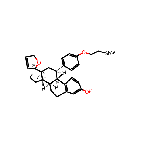 CSCCOc1ccc([C@H]2C[C@@]3(C)[C@@H](CC[C@@]34C=CCO4)[C@@H]3CCc4cc(O)ccc4[C@H]32)cc1